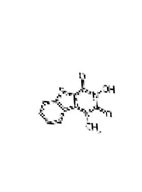 Cn1c(=O)n(O)c(=O)c2sc3ccccc3c21